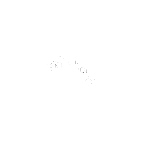 CS(=O)(=O)Nc1cccc(C2CCN(Cc3cn(Cc4ccccc4)nn3)CC2)c1